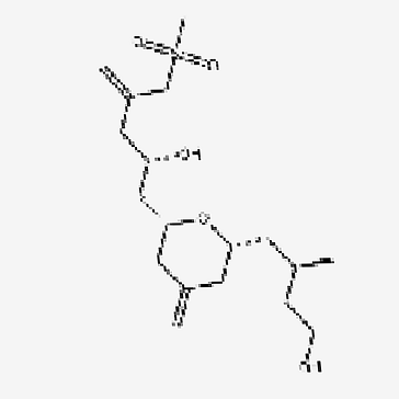 C=C1C[C@H](C[C@@H](O)CC(=C)CS(C)(=O)=O)O[C@H](C[C@@H](C)CCO)C1